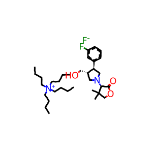 CC1(C)COC(=O)[C@@H]1N1C[C@H](CO)[C@@H](c2cccc(F)c2)C1.CCCC[N+](CCCC)(CCCC)CCCC.[F-]